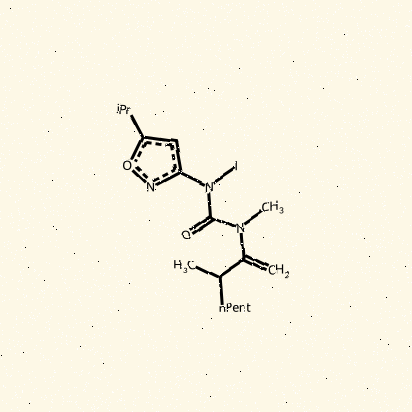 C=C(C(C)CCCCC)N(C)C(=O)N(I)c1cc(C(C)C)on1